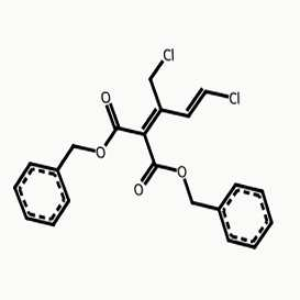 O=C(OCc1ccccc1)C(C(=O)OCc1ccccc1)=C(/C=C/Cl)CCl